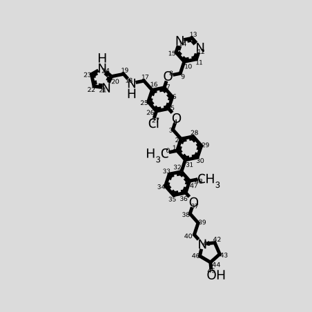 Cc1c(COc2cc(OCc3cncnc3)c(CNCc3ncc[nH]3)cc2Cl)cccc1-c1cccc(OCCCN2CCC(O)C2)c1C